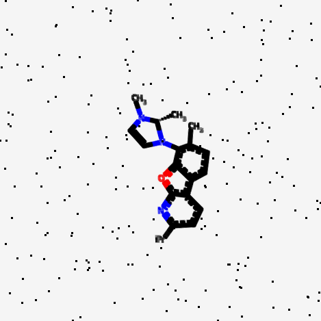 Cc1ccc2c(oc3nc(C(C)C)ccc32)c1N1C=CN(C)[C@@H]1C